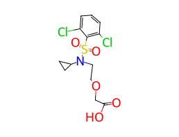 O=C(O)COCCN(C1CC1)S(=O)(=O)c1c(Cl)cccc1Cl